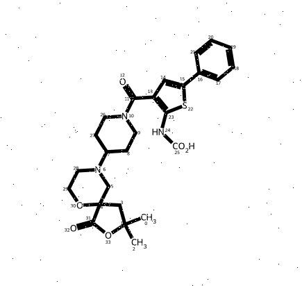 CC1(C)CC2(CN(C3CCN(C(=O)c4cc(-c5ccccc5)sc4NC(=O)O)CC3)CCO2)C(=O)O1